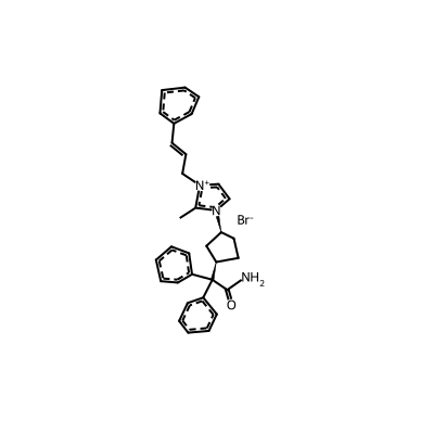 Cc1n([C@H]2CC[C@@H](C(C(N)=O)(c3ccccc3)c3ccccc3)C2)cc[n+]1C/C=C/c1ccccc1.[Br-]